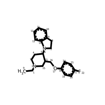 CCN1CCC(N2CCc3ccccc32)C(COc2ccc(F)cc2)C1